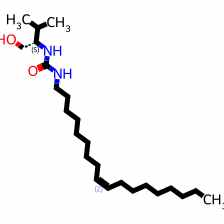 CCCCCCCC/C=C\CCCCCCCCNC(=O)N[C@H](CO)C(C)C